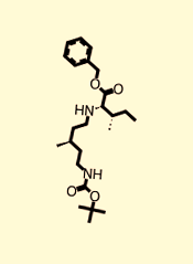 CC[C@H](C)[C@H](NCC[C@H](C)CCNC(=O)OC(C)(C)C)C(=O)OCc1ccccc1